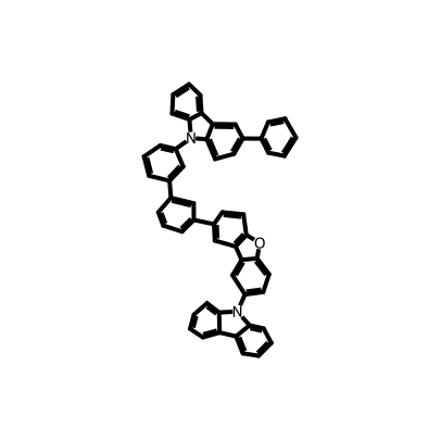 c1ccc(-c2ccc3c(c2)c2ccccc2n3-c2cccc(-c3cccc(-c4ccc5oc6ccc(-n7c8ccccc8c8ccccc87)cc6c5c4)c3)c2)cc1